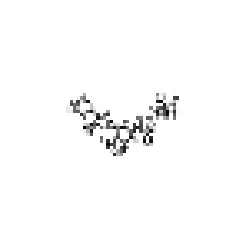 CCN(CCN(OC)C(=O)c1ccccc1)c1c(F)cc(N2C[C@H](CNC(=O)C(F)F)OC2=O)cc1F